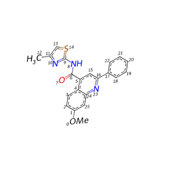 COc1ccc2c(C(=O)Nc3nc(C)cs3)cc(-c3ccccc3)nc2c1